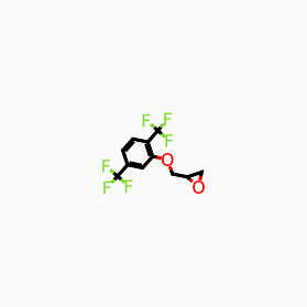 FC(F)(F)c1ccc(C(F)(F)F)c(OCC2CO2)c1